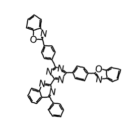 c1ccc(-c2nc(-c3nc(-c4ccc(-c5nc6ccccc6o5)cc4)nc(-c4ccc(-c5nc6ccccc6o5)cc4)n3)nc3ccccc23)cc1